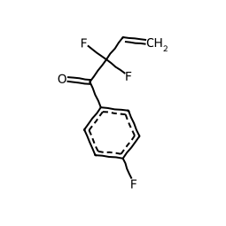 C=CC(F)(F)C(=O)c1ccc(F)cc1